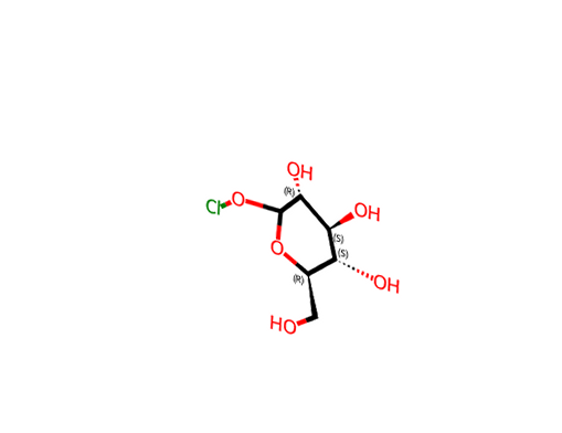 OC[C@H]1OC(OCl)[C@H](O)[C@@H](O)[C@@H]1O